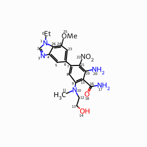 CCn1cnc2cc(-c3cc(N(C)CCO)c(C(N)=O)c(N)c3[N+](=O)[O-])cc(OC)c21